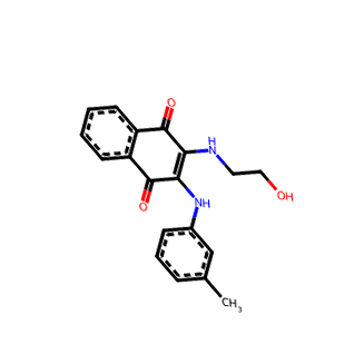 Cc1cccc(NC2=C(NCCO)C(=O)c3ccccc3C2=O)c1